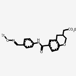 CCO/N=C/c1ccc(NC(=O)c2ccc3c(c2)CC(CC(=O)OCC)CO3)cc1